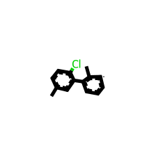 Cc1ccc(Cl)c(-c2ccc[c]c2C)c1